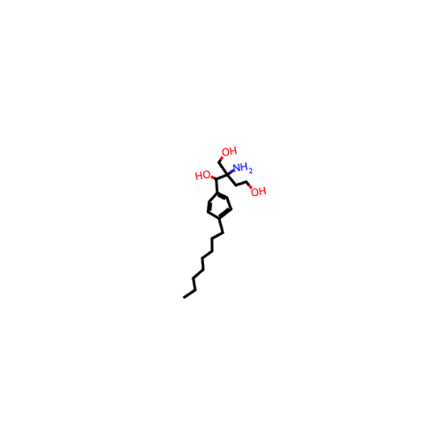 CCCCCCCCc1ccc(C(O)C(N)(CO)CCO)cc1